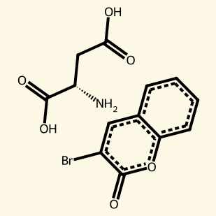 N[C@@H](CC(=O)O)C(=O)O.O=c1oc2ccccc2cc1Br